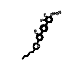 C/C=C/CCC1CCC(c2ccc(-c3ccc(-c4ccc(CCCCCCC)c(F)c4F)cc3)c(F)c2)OC1